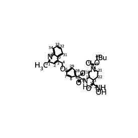 Cc1cc(COc2ccc(S(=O)(=O)NC3CN(C(=O)OC(C)(C)C)CCC3C(=O)NO)cc2)c2ccccc2n1